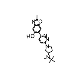 Cc1nc2cc(O)c(-c3ccc(N4CC[C@@H](N(C)C(C)(C)C)C4)nn3)cc2o1